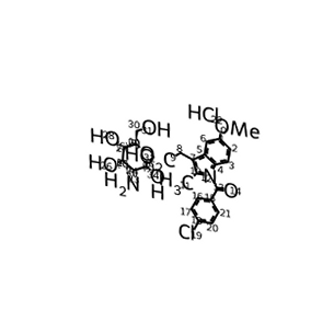 COc1ccc2c(c1)c(CC(=O)O)c(C)n2C(=O)c1ccc(Cl)cc1.Cl.N[C@@H]1[C@@H](O)[C@H](O)[C@@H](CO)O[C@H]1O